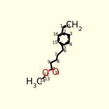 C=Cc1ccc(CCCCC(=O)OCC)cc1